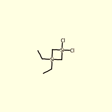 CC[Si]1(CC)C[Si](Cl)(Cl)C1